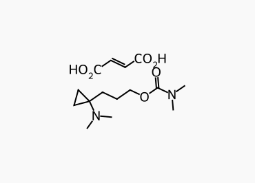 CN(C)C(=O)OCCCC1(N(C)C)CC1.O=C(O)C=CC(=O)O